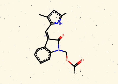 CCC(=O)OCN1C(=O)/C(=C\c2[nH]c(C)cc2C)c2ccccc21